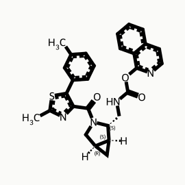 Cc1cccc(-c2sc(C)nc2C(=O)N2C[C@@H]3C[C@@H]3[C@H]2CNC(=O)Oc2nccc3ccccc23)c1